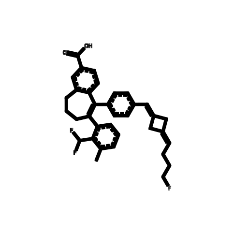 Cc1cccc(C2=C(c3ccc(C=C4CC(=CCCCF)C4)cc3)c3ccc(C(=O)O)cc3CCC2)c1C(F)F